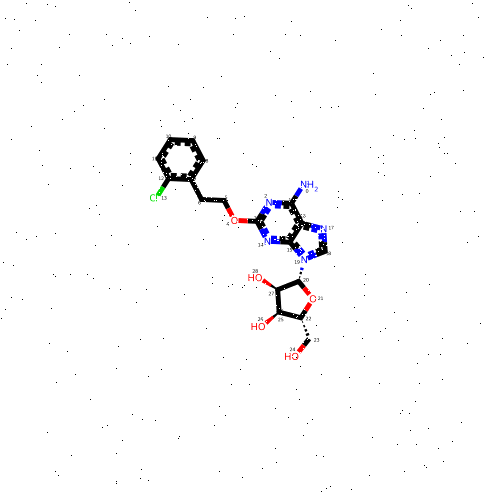 Nc1nc(OCCc2ccccc2Cl)nc2c1ncn2[C@@H]1O[C@H](CO)[C@@H](O)[C@H]1O